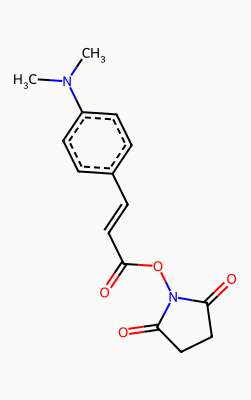 CN(C)c1ccc(C=CC(=O)ON2C(=O)CCC2=O)cc1